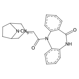 CN1C2CCC1CC(=CC(=O)N1c3ccccc3NC(=O)c3ccccc31)C2